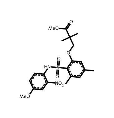 COC(=O)C(C)(C)COc1cc(C)cc(C)c1S(=O)(=O)Nc1ccc(OC)cc1[N+](=O)[O-]